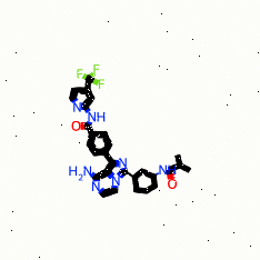 CC(C)C(=O)N[C@@H]1CCC[C@@H](c2nc(-c3ccc(C(=O)Nc4cc(C(F)(F)F)ccn4)cc3)c3c(N)nccn23)C1